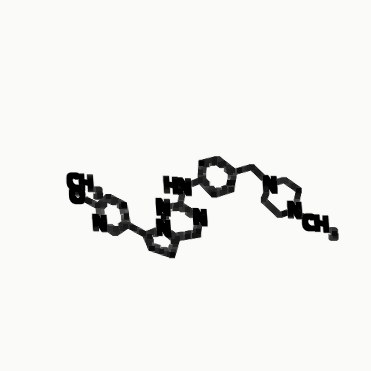 COc1ccc(-c2ccc3cnc(Nc4ccc(CN5CCN(C)CC5)cc4)nn23)cn1